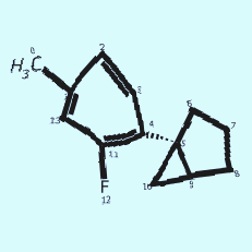 Cc1ccc([C@]23CCCC2C3)c(F)c1